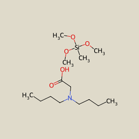 CCCCN(CCCC)CC(=O)O.CO[Si](C)(OC)OC